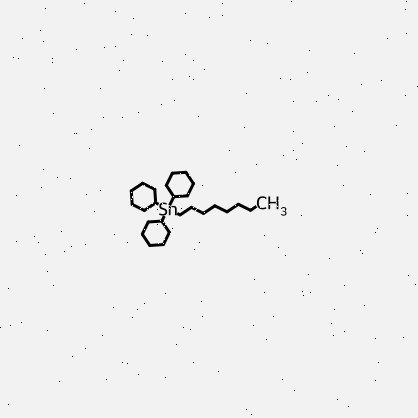 CCCCCCC[CH2][Sn]([CH]1CCCCC1)([CH]1CCCCC1)[CH]1CCCCC1